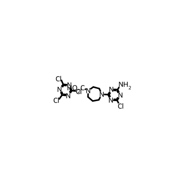 Clc1nc(Cl)nc(Cl)n1.Nc1nc(Cl)nc(N2CCCN(C(=O)O)CC2)n1